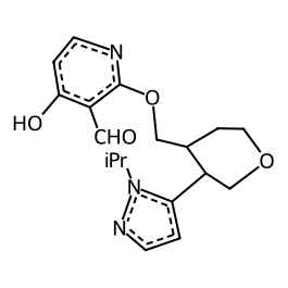 CC(C)n1nccc1C1COCCC1COc1nccc(O)c1C=O